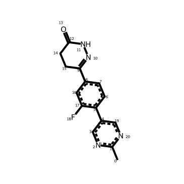 Cc1ncc(-c2ccc(C3=NNC(=O)CC3)cc2F)cn1